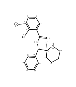 C[C@@]1([C@@H](NC(=O)c2cccc(C(F)(F)F)c2Cl)c2ccccc2)CCCCN1